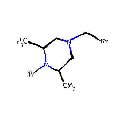 CC(C)CN1CC(C)N(C(C)C)C(C)C1